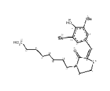 CC(C)(C)c1cc(/C=C2/SCCN(CCCCCCCC(=O)O)C2=O)cc(C(C)(C)C)c1O